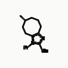 CC1CCCc2nc(C(C)(C)C)n(C(C)C)c2CC1